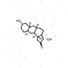 C[C@@]12CC[C@H]3C[C@H]4C[C@H](O)CC[C@@H]4C[C@@H]3[C@H]1CC(=O)[C@H]2O